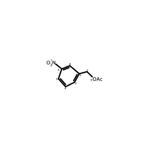 CC(=O)OCc1cccc([N+](=O)[O-])c1